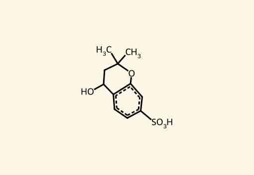 CC1(C)CC(O)c2ccc(S(=O)(=O)O)cc2O1